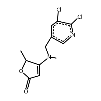 CC1OC(=O)C=C1N(C)Cc1cnc(Cl)c(Cl)c1